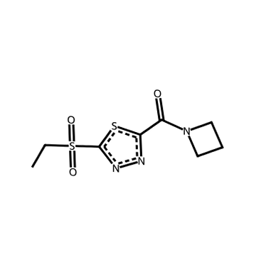 CCS(=O)(=O)c1nnc(C(=O)N2CCC2)s1